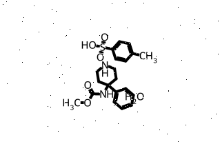 COC(=O)NC1(c2ccccc2)CCNCC1.Cc1ccc(S(=O)(=O)O)cc1.O